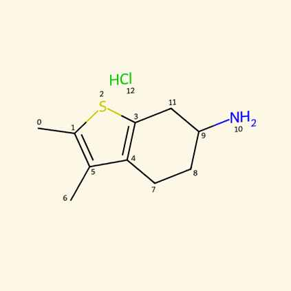 Cc1sc2c(c1C)CCC(N)C2.Cl